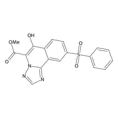 COC(=O)c1c(O)c2ccc(S(=O)(=O)c3ccccc3)cc2c2ncnn12